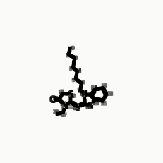 CCCCCCCCn1c(=S=C2SCC(=O)N2CC)sc2ccccc21